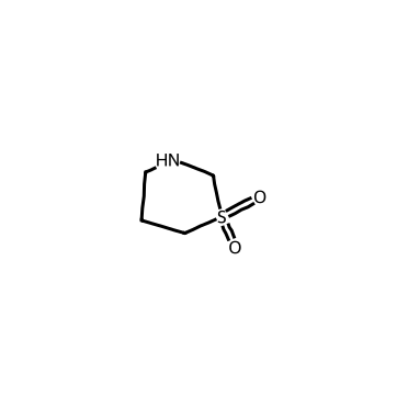 O=S1(=O)CCCNC1